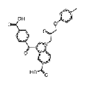 Cc1ccc(OCC(=O)Cn2cc(C(=O)c3ccc(C(=O)O)cc3)c3cc(C(=O)O)ccc32)cc1